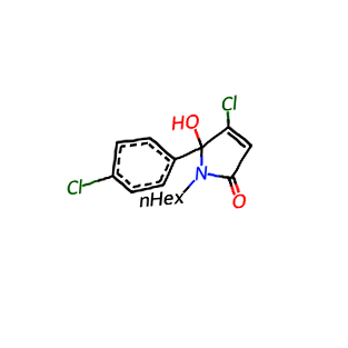 CCCCCCN1C(=O)C=C(Cl)C1(O)c1ccc(Cl)cc1